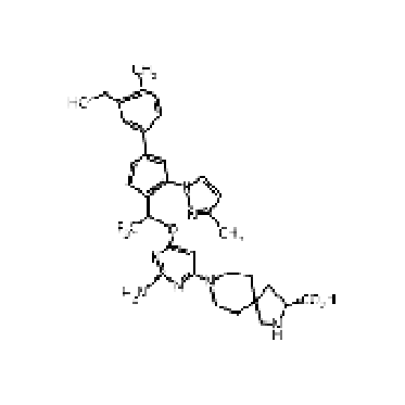 Cc1ccn(-c2cc(-c3ccc(C)c(CO)c3)ccc2C(Oc2cc(N3CCC4(CC3)CN[C@H](C(=O)O)C4)nc(N)n2)C(F)(F)F)n1